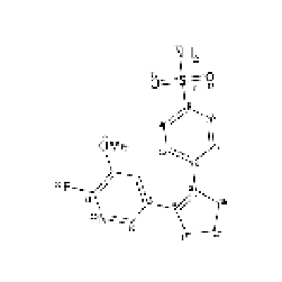 COc1cc(C2=C(c3ccc(S(N)(=O)=O)cc3)CCC2)cnc1F